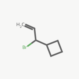 C=CC(Br)C1CCC1